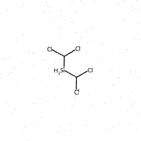 ClC(Cl)[SiH2]C(Cl)Cl